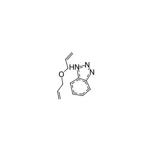 C=CCOCC=C.c1ccc2[nH]nnc2c1